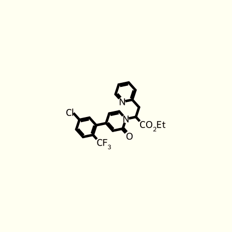 CCOC(=O)C(Cc1ccccn1)n1ccc(-c2cc(Cl)ccc2C(F)(F)F)cc1=O